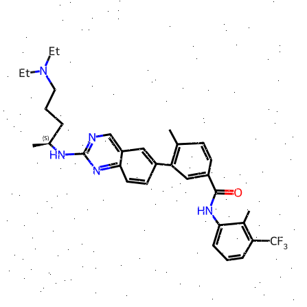 CCN(CC)CCC[C@H](C)Nc1ncc2cc(-c3cc(C(=O)Nc4cccc(C(F)(F)F)c4C)ccc3C)ccc2n1